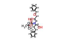 CC(C)(C)OC(=O)N(CC(O)COCc1ccccc1)C(CO)CCc1ccccc1